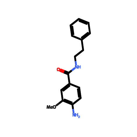 COc1cc(C(=O)NCCc2ccccc2)ccc1N